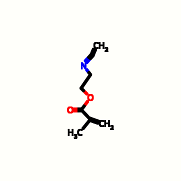 C=C=NCCOC(=O)C(=C)C